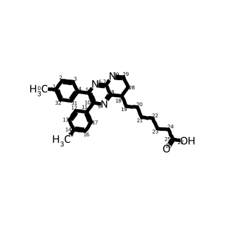 Cc1ccc(-c2nc3c(nc2-c2ccc(C)cc2)C(CCCCCCC(=O)O)CC=N3)cc1